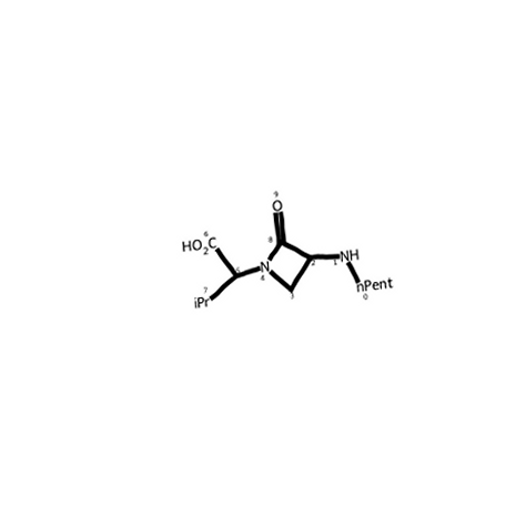 CCCCCNC1CN(C(C(=O)O)C(C)C)C1=O